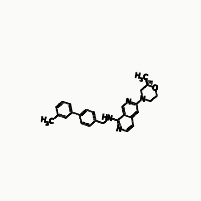 Cc1cccc(-c2ccc(CNc3nccc4cc(N5CCO[C@H](C)C5)ncc34)cc2)c1